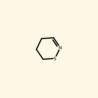 C1=NSCCC1